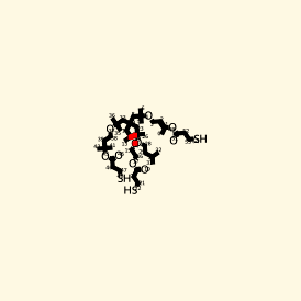 C/C(=C\COC(C)(C)CC(CC(C)(C)OCCOC(=O)CCS)(CC(C)(C)OCCC(C)C)CC(C)(C)OCCC(C)(C)OC(=O)CCS)OC(=O)CCS